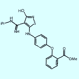 COC(=O)c1ccccc1Oc1ccc(Nc2snc(O)c2C(=N)NC(C)C)cc1